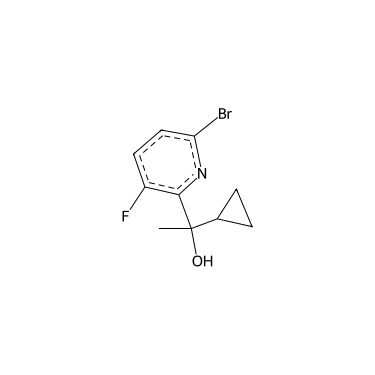 CC(O)(c1nc(Br)ccc1F)C1CC1